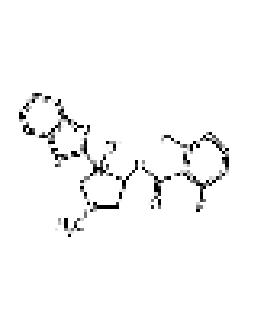 CN1CC(OC(=O)c2c(F)cccc2F)[N+]([O-])(c2nc3ccccc3s2)C1